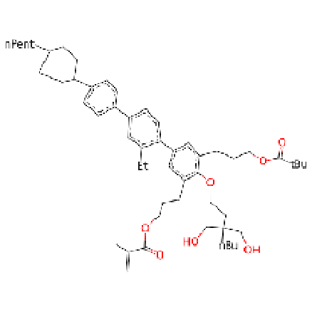 C=C(C)C(=O)OCCCc1cc(-c2ccc(-c3ccc(C4CCC(CCCCC)CC4)cc3)cc2CC)cc(CCCOC(=O)C(C)(C)C)c1OCCC(CO)(CO)CCCC